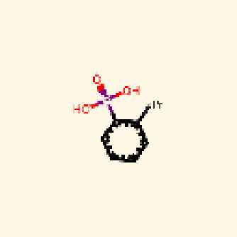 CC(C)c1ccccc1P(=O)(O)O